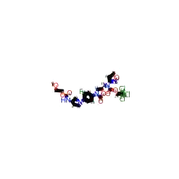 COCCOC(=O)N[C@H]1CCN(c2ccc(N3C[C@H](CN(C(=O)OCC(Cl)(Cl)Cl)c4ccon4)OC3=O)cc2F)C1